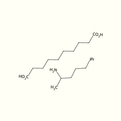 CC(C)CCCC(C)N.O=C(O)CCCCCCCCC(=O)O